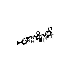 N=C/C(=C\NCc1cn2cc(C3CC3)ccc2n1)C(=O)NCc1ncc2c(F)cc(Cl)cn12